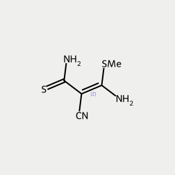 CS/C(N)=C(/C#N)C(N)=S